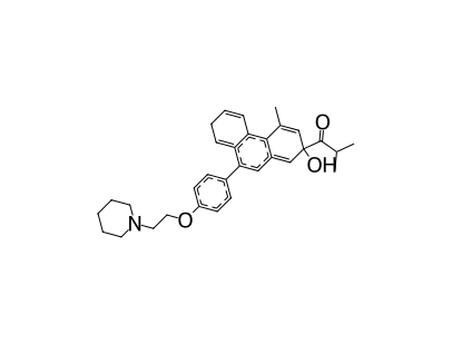 CC1=CC(O)(C(=O)C(C)C)C=c2cc(-c3ccc(OCCN4CCCCC4)cc3)c3c(c21)C=CCC=3